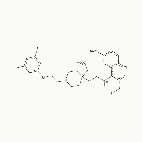 COc1ccc2ncc(CF)c([C@H](F)CCC3(CC(=O)O)CCN(CCOc4cc(F)cc(F)c4)CC3)c2c1